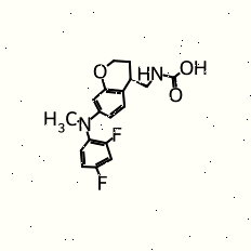 CN(c1ccc2c(c1)OCC[C@H]2CNC(=O)O)c1ccc(F)cc1F